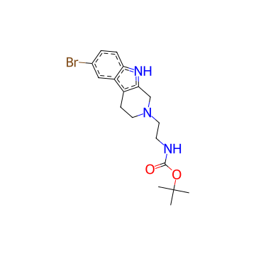 CC(C)(C)OC(=O)NCCN1CCc2c([nH]c3ccc(Br)cc23)C1